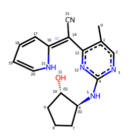 Cc1cnc(N[C@H]2CCC[C@@H]2O)nc1/C(C#N)=C1/C=CC=CN1